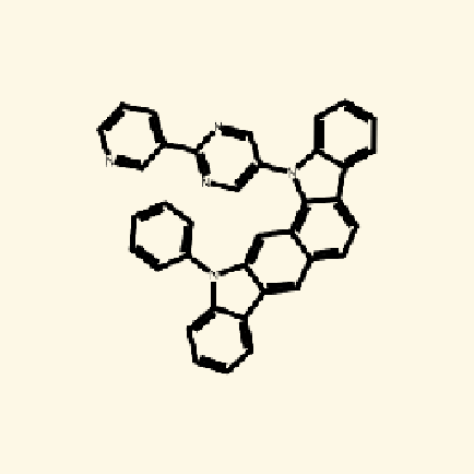 c1ccc(-n2c3ccccc3c3cc4ccc5c6ccccc6n(-c6cnc(-c7cccnc7)nc6)c5c4cc32)cc1